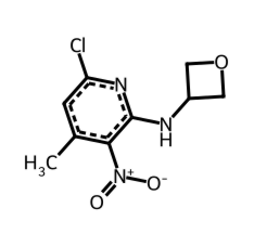 Cc1cc(Cl)nc(NC2COC2)c1[N+](=O)[O-]